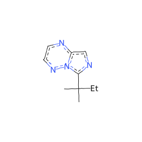 CCC(C)(C)c1ncc2nccnn12